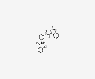 Cc1cc(NC(=O)c2cccc(NC(=O)c3ccccc3Cl)c2)c2ccccc2n1